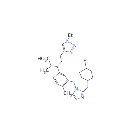 CCC1CCC(Cc2nccn2Cc2cc(C(CCc3cn(CC)nn3)C(C)C(=O)O)ccc2C)CC1